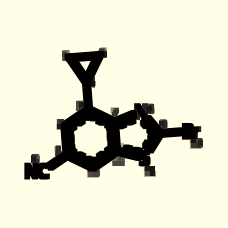 N#Cc1cc(C2CC2)c2nc(Br)sc2c1